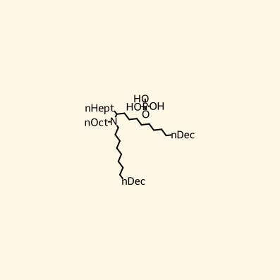 CCCCCCCCCCCCCCCCCCC(CCCCCCC)N(CCCCCCCC)CCCCCCCCCCCCCCCCCC.O=P(O)(O)O